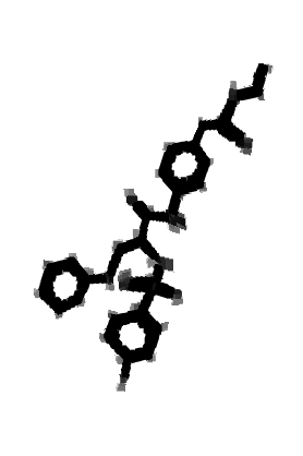 CCOC(=O)Cc1ccc(NC(=O)C(COc2ccccc2)NS(=O)(=O)c2ccc(F)cc2)cc1